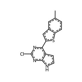 Cc1ccc2sc(-c3nc(Cl)nc4[nH]ccc34)cc2c1